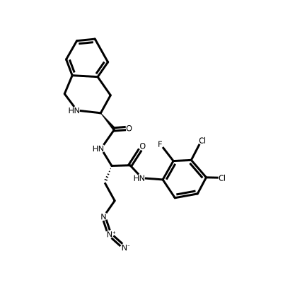 [N-]=[N+]=NCC[C@H](NC(=O)[C@@H]1Cc2ccccc2CN1)C(=O)Nc1ccc(Cl)c(Cl)c1F